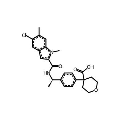 Cc1cc2c(cc1Cl)cc(C(=O)N[C@H](C)c1ccc(C3(C(=O)O)CCOCC3)cc1)n2C